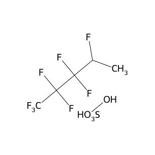 CC(F)C(F)(F)C(F)(F)C(F)(F)F.O=S(=O)(O)O